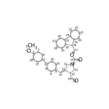 COc1ccc(-c2ccc(C=C3CN(C(=O)OCC4c5ccccc5-c5ccccc54)CC3C=O)cc2)cc1